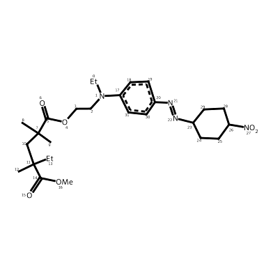 CCN(CCOC(=O)C(C)(C)CC(C)(CC)C(=O)OC)c1ccc(N=NC2CCC([N+](=O)[O-])CC2)cc1